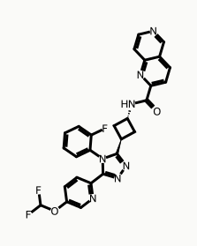 O=C(N[C@H]1C[C@H](c2nnc(-c3ccc(OC(F)F)cn3)n2-c2ccccc2F)C1)c1ccc2cnccc2n1